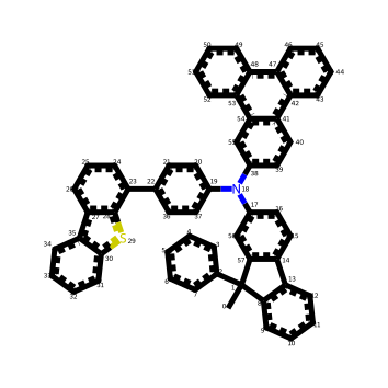 CC1(c2ccccc2)c2ccccc2-c2ccc(N(c3ccc(-c4cccc5c4sc4ccccc45)cc3)c3ccc4c5ccccc5c5ccccc5c4c3)cc21